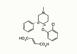 CN1CC[C@H](Oc2ccccc2Cl)[C@H](c2ccccc2)C1.O=C(O)C=CC(=O)O